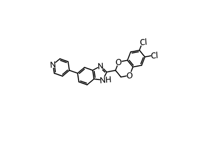 Clc1cc2c(cc1Cl)OC(c1nc3cc(-c4ccncc4)ccc3[nH]1)CO2